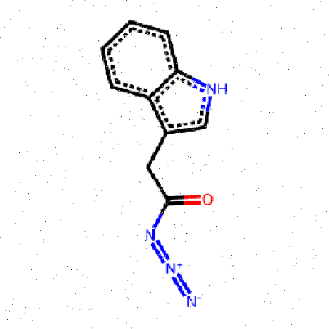 [N-]=[N+]=NC(=O)Cc1c[nH]c2ccccc12